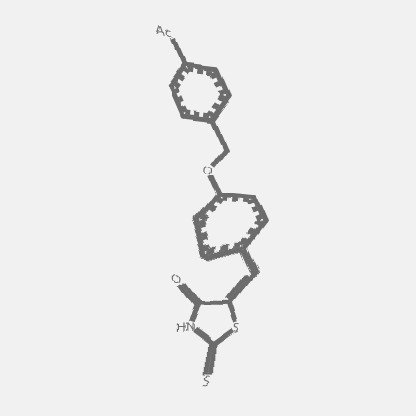 CC(=O)c1ccc(COc2ccc(/C=C3/SC(=S)NC3=O)cc2)cc1